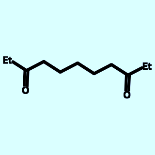 CCC(=O)CCCCCC(=O)CC